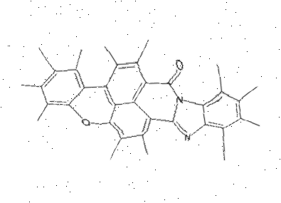 Cc1c(C)c(C)c2c(nc3c4c(C)c(C)c5oc6c(C)c(C)c(C)c(C)c6c6c(C)c(C)c(c(=O)n32)c4c56)c1C